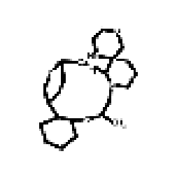 CC1CN2CCC[C@@]3(COCCN3)[C@@H]2COC2CCC(CC2)C2CCCCC2O1